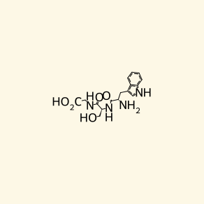 N[C@@H](Cc1c[nH]c2ccccc12)C(=O)N[C@@H](CO)C(=O)NCC(=O)O